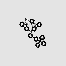 CC1(C)c2ccccc2-c2ccc(N(c3cccc(-c4ccc(C(c5ccccc5)(c5ccccc5)c5ccccc5)cc4)c3)c3ccc4c5ccccc5n(-c5ccccc5)c4c3)cc21